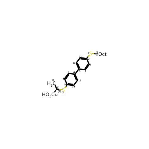 CCCCCCCCSc1ccc(-c2ccc(S[C@H](C)C(=O)O)cc2)cc1